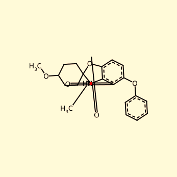 COC1CCC2(CC1)Oc1ccc(Oc3ccccc3)cc1C21NC(=O)N(C)C1=O